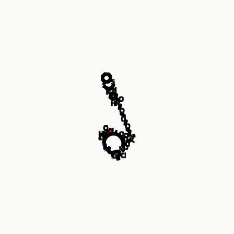 C=C(OC)/C(Cl)=C1\C=C(/C)C/C(C)=C/C=C/[C@@H](OC)[C@@]2(O)C[C@H](OC(=O)N2)[C@@H](C)C2O[C@@]2(C)[C@@H](OC(=O)[C@@H](C)N(C)C(=O)CCOCCOCCOCCNC(=O)c2ccc3nc4c(nc3c2)CSC2CCCCCC(C2)SC4)CC(=O)N1C